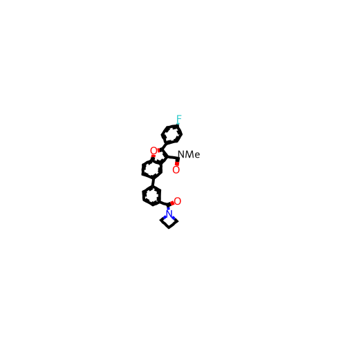 CNC(=O)c1c(-c2ccc(F)cc2)oc2ccc(-c3cccc(C(=O)N4CCC4)c3)cc12